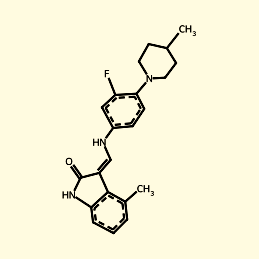 Cc1cccc2c1C(=CNc1ccc(N3CCC(C)CC3)c(F)c1)C(=O)N2